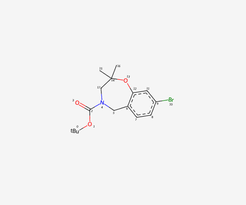 CC(C)(C)OC(=O)N1Cc2ccc(Br)cc2OC(C)(C)C1